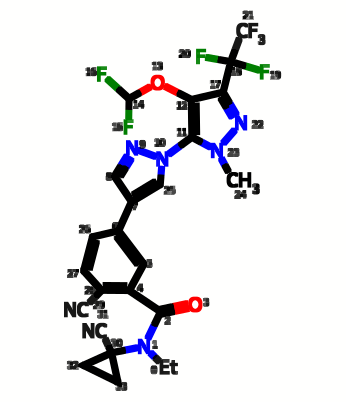 CCN(C(=O)c1cc(-c2cnn(-c3c(OC(F)F)c(C(F)(F)C(F)(F)F)nn3C)c2)ccc1C#N)C1(C#N)CC1